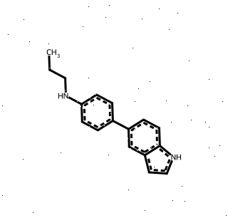 CCCNc1ccc(-c2ccc3[nH]ccc3c2)cc1